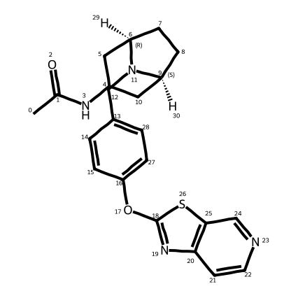 CC(=O)NC1C[C@H]2CC[C@@H](C1)N2Cc1ccc(Oc2nc3ccncc3s2)cc1